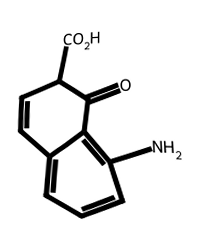 Nc1cccc2c1C(=O)C(C(=O)O)C=C2